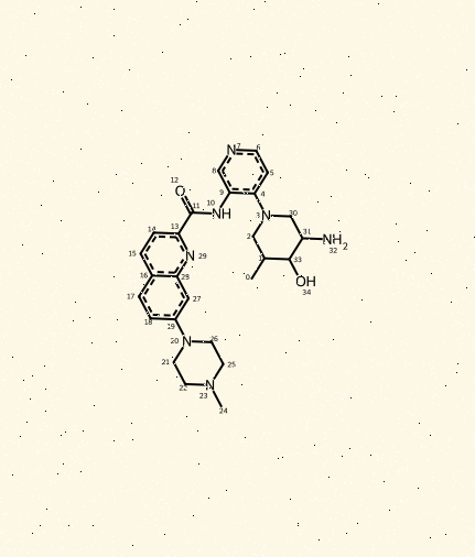 CC1CN(c2ccncc2NC(=O)c2ccc3ccc(N4CCN(C)CC4)cc3n2)CC(N)C1O